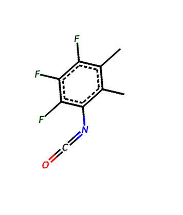 Cc1c(C)c(N=C=O)c(F)c(F)c1F